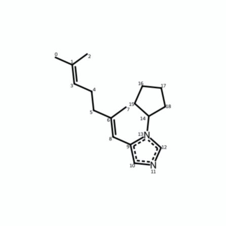 CC(C)=CCC/C(C)=C/c1cncn1C1CCCC1